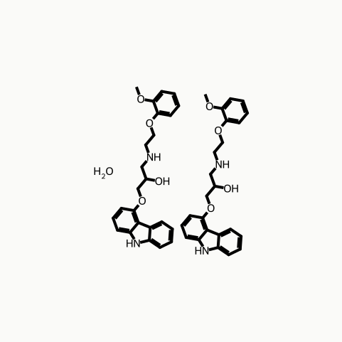 COc1ccccc1OCCNCC(O)COc1cccc2[nH]c3ccccc3c12.COc1ccccc1OCCNCC(O)COc1cccc2[nH]c3ccccc3c12.O